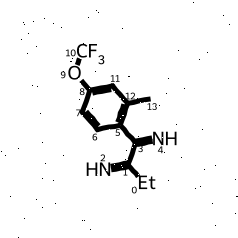 CCC(=N)C(=N)c1ccc(OC(F)(F)F)cc1C